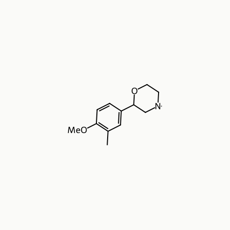 COc1ccc(C2C[N]CCO2)cc1C